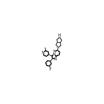 Cc1cc(-c2c(-c3cccc(F)c3)nc3ccc(N4CC5CNCC5C4)nn23)ccn1